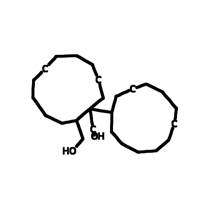 OCC1CCCCCCCCCCC1(CO)C1CCCCCCCCCCC1